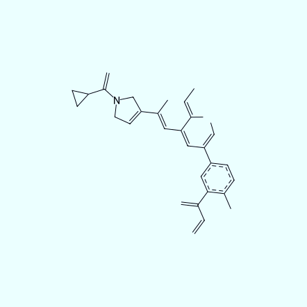 C=CC(=C)c1cc(C(/C=C(/C=C(\C)C2=CCN(C(=C)C3CC3)C2)C(\C)=C\C)=C/C)ccc1C